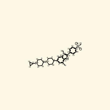 Cc1cc(C2CCN(C3CCN(C4CC4)CC3)CC2)cc2c1nc(-c1ccc(S(C)(=O)=O)cc1)n2C